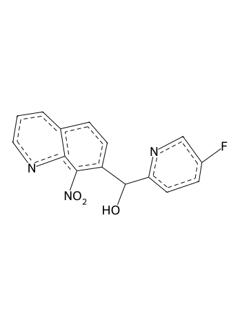 O=[N+]([O-])c1c(C(O)c2ccc(F)cn2)ccc2cccnc12